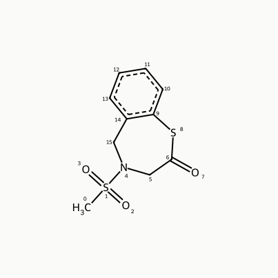 CS(=O)(=O)N1CC(=O)Sc2ccccc2C1